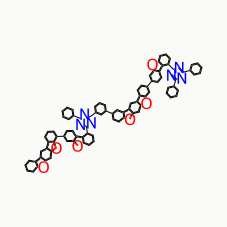 c1ccc(-c2nc(-c3ccccc3)nc(-c3cccc4oc5cc(-c6ccc7c(c6)oc6cc8oc9ccc(-c%10cccc(-c%11nc(-c%12ccccc%12)nc(-c%12cccc%13oc%14cc(-c%15cccc%16c%15oc%15cc%17oc%18ccccc%18c%17cc%15%16)ccc%14c%12%13)n%11)c%10)cc9c8cc67)ccc5c34)n2)cc1